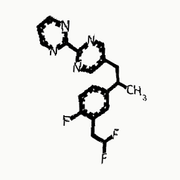 CC(Cc1cnc(-c2ncccn2)nc1)c1ccc(F)c(CC(F)F)c1